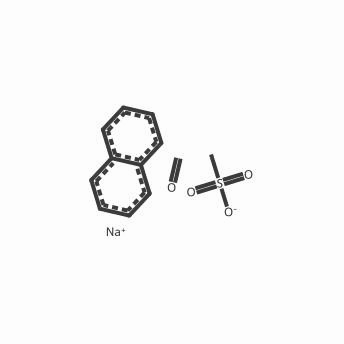 C=O.CS(=O)(=O)[O-].[Na+].c1ccc2ccccc2c1